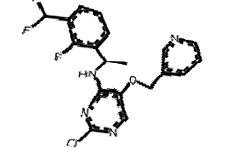 C[C@@H](Nc1nc(Cl)ncc1OCc1cccnc1)c1cccc(C(F)F)c1F